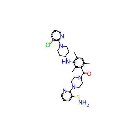 Cc1cc(C)c(C(=O)N2CCN(c3ncccc3SN)CC2)c(C)c1NC1CCN(c2ncccc2Cl)CC1